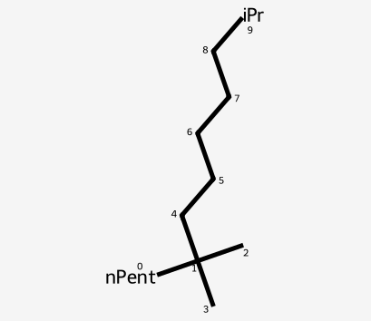 CCCCCC(C)(C)[CH]CCCCC(C)C